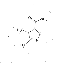 CC1=NOC(C(N)=O)C1C